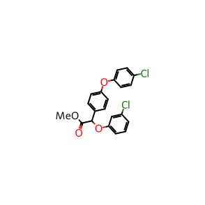 COC(=O)C(Oc1cccc(Cl)c1)c1ccc(Oc2ccc(Cl)cc2)cc1